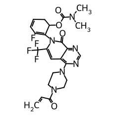 C=CC(=O)N1CCN(c2ncnc3c(=O)n(C4=C(F)C=CCC4OC(=O)N(C)C)c(C(F)(F)F)cc23)CC1